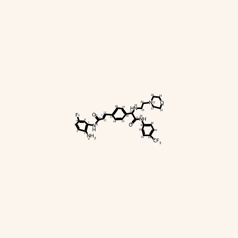 Nc1ccc(F)cc1NC(=O)/C=C/c1ccc(C(NCCN2CCOCC2)C(=O)Nc2ccc(C(F)(F)F)cc2)cc1